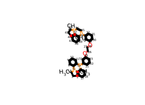 C[C@@H]1CC[C@@H](C)P1c1ccccc1P(c1ccccc1)c1cccc(OCCOc2cccc(P(/C=C\P3[C@@H](C)CC[C@@H]3C)c3ccccc3)c2)c1